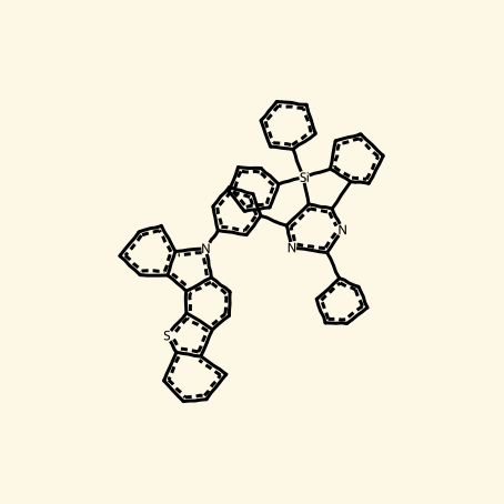 c1ccc(-c2nc(-c3cccc(-n4c5ccccc5c5c6sc7ccccc7c6ccc54)c3)c3c(n2)-c2ccccc2[Si]3(c2ccccc2)c2ccccc2)cc1